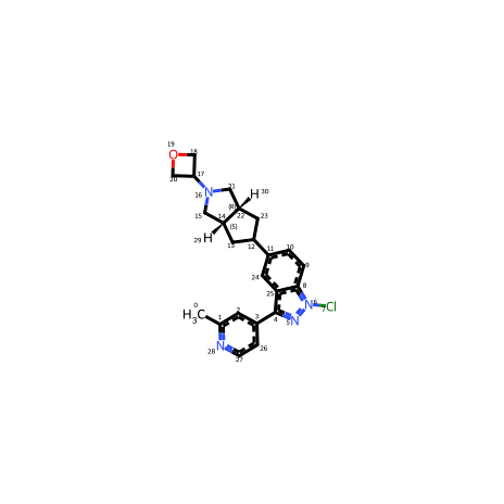 Cc1cc(-c2nn(Cl)c3ccc(C4C[C@@H]5CN(C6COC6)C[C@@H]5C4)cc23)ccn1